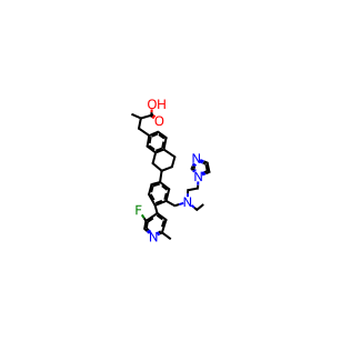 CCN(CCn1ccnc1)Cc1cc(C2CCc3ccc(CC(C)C(=O)O)cc3C2)ccc1-c1cc(C)ncc1F